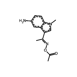 CC(=O)O/N=C(\C)c1cn(C)c2ccc(N)cc12